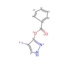 O=C(Oc1n[nH]cc1I)c1ccccc1